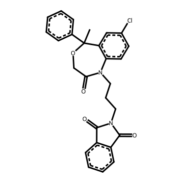 CC1(c2ccccc2)OCC(=O)N(CCCN2C(=O)c3ccccc3C2=O)c2ccc(Cl)cc21